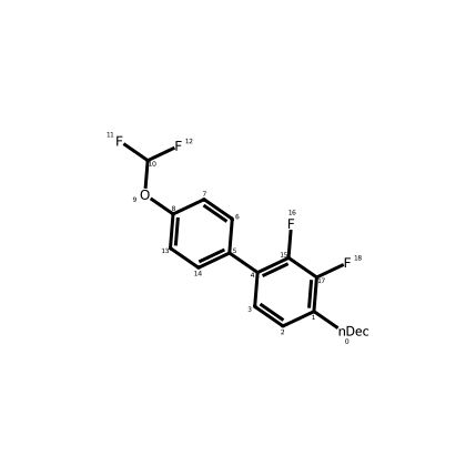 CCCCCCCCCCc1ccc(-c2ccc(OC(F)F)cc2)c(F)c1F